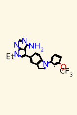 CCn1cc(-c2ccc3c(c2)CCN3c2[c]c(OC(F)(F)F)ccc2)c2c(N)ncnc21